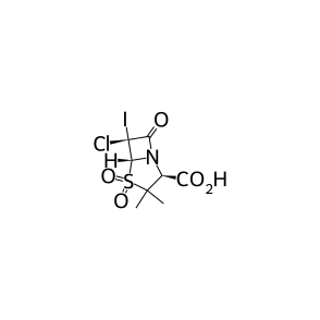 CC1(C)[C@H](C(=O)O)N2C(=O)[C@@](Cl)(I)[C@H]2S1(=O)=O